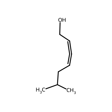 CC(C)CC=C=CCO